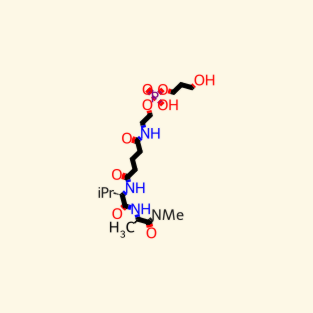 CNC(=O)[C@H](C)NC(=O)[C@@H](NC(=O)CCCC(=O)NCCOP(=O)(O)OCCCO)C(C)C